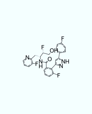 O=C(N[C@H](Cc1ncccc1F)[C@H](F)CO)c1cccc(F)c1-c1cc(-c2ccc(F)cc2)[nH]n1